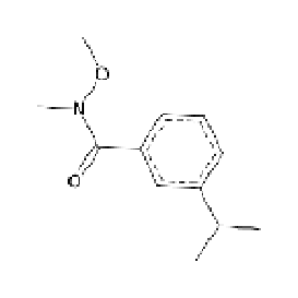 CON(C)C(=O)c1cccc(C(C)C)c1